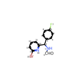 O=CNC(c1ccc(F)cc1)c1cccc(Br)n1